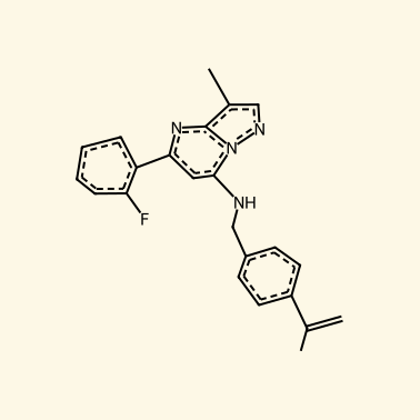 C=C(C)c1ccc(CNc2cc(-c3ccccc3F)nc3c(C)cnn23)cc1